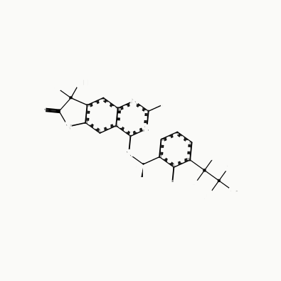 Cc1nc(N[C@H](C)c2cccc(C(F)(F)C(C)(C)O)c2F)c2cc3c(cc2n1)C(C)(C)C(=O)N3